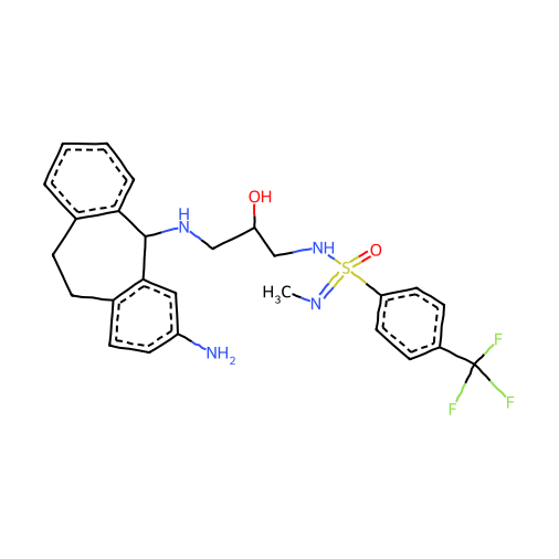 CN=S(=O)(NCC(O)CNC1c2ccccc2CCc2ccc(N)cc21)c1ccc(C(F)(F)F)cc1